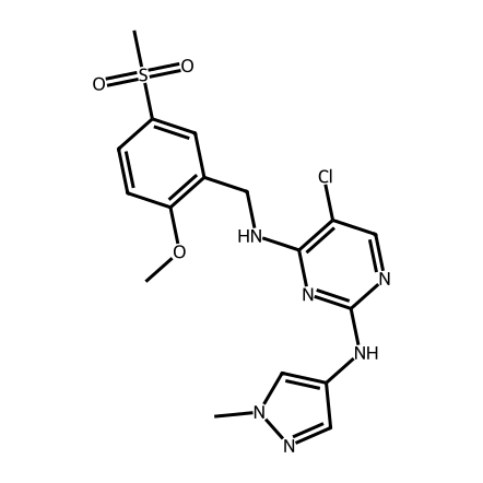 COc1ccc(S(C)(=O)=O)cc1CNc1nc(Nc2cnn(C)c2)ncc1Cl